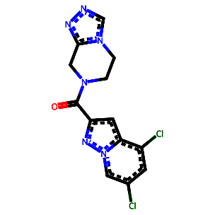 O=C(c1cc2c(Cl)cc(Cl)cn2n1)N1CCn2cnnc2C1